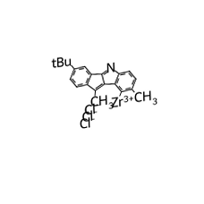 CC1=C2C(=Nc3ccc(C)[c]([Zr+3])c32)c2cc(C(C)(C)C)ccc21.[Cl-].[Cl-].[Cl-]